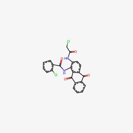 O=C(CCl)Nc1ccc2c(c1NC(=O)c1ccccc1Cl)C(=O)c1ccccc1C2=O